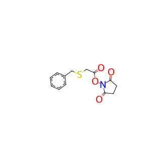 O=C(CSCc1ccccc1)ON1C(=O)CCC1=O